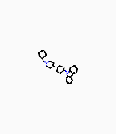 C1=CN(Cc2ccccc2)CC=C1c1ccc(-n2c3ccccc3c3ccccc32)cc1